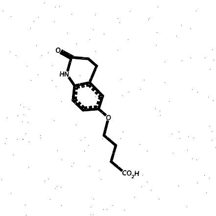 O=C(O)CCCOc1ccc2c(c1)CCC(=O)N2